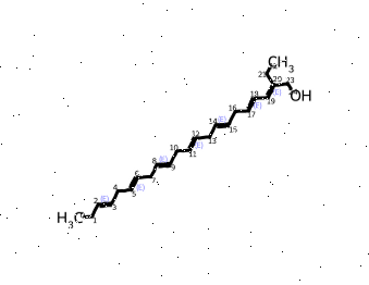 CC/C=C/C/C=C/C/C=C/C/C=C/C/C=C/C/C=C/C=C(\CC)CO